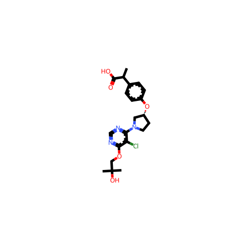 CC(C(=O)O)c1ccc(O[C@@H]2CCN(c3ncnc(OCC(C)(C)O)c3Cl)C2)cc1